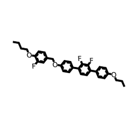 CCCCOc1ccc(COc2ccc(-c3ccc(-c4ccc(OCCC)cc4)c(F)c3F)cc2)cc1F